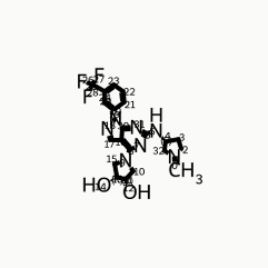 CN1CC[C@H](Nc2nc(N3C[C@@H](O)[C@H](O)C3)c3cnn(-c4cccc(C(F)(F)F)c4)c3n2)C1